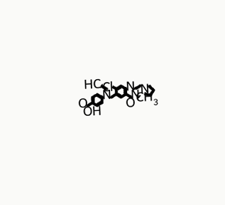 C#CCN(Cc1cc2c(=O)n(C)c(CN3CCCC3)nc2cc1Cl)c1ccc(C(=O)O)cc1